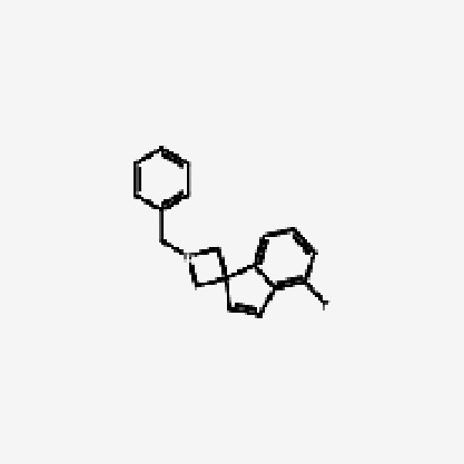 Fc1cccc2c1C=CC21CN(Cc2ccccc2)C1